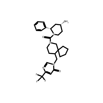 N[C@@H]1CCN(C(=O)N2CCC(Cn3cnc(C(F)(F)F)cc3=O)C3(CCCC3)C2)[C@H](c2ccccc2)C1